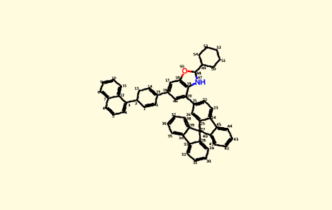 C1=CC(c2cccc3ccccc23)CC=C1c1cc2c(c(-c3ccc4c(c3)C3(c5ccccc5-c5ccccc53)c3ccccc3-4)c1)NC(C1CCCCC1)O2